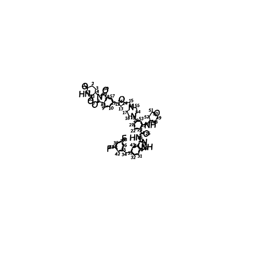 O=C1CCC(N2C(=O)c3ccc(C4CC(CN5CCN(c6ccc(C(=O)Nc7n[nH]c8ccc(Cc9cc(F)cc(F)c9)cc78)c(NC7CCOCC7)c6)CC5)O4)cc3C2=O)C(=O)N1